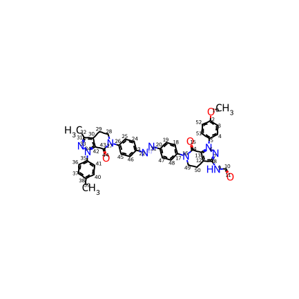 COc1ccc(-n2nc(NC=O)c3c2C(=O)N(c2ccc(/N=N/c4ccc(N5CCc6c(C)nn(-c7ccc(C)cc7)c6C5=O)cc4)cc2)CC3)cc1